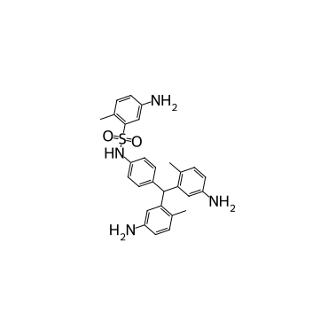 Cc1ccc(N)cc1C(c1ccc(NS(=O)(=O)c2cc(N)ccc2C)cc1)c1cc(N)ccc1C